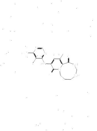 Cc1cc(Nc2ncnc(N)c2Cl)c(=O)n2c1C(=O)NCNCCC2